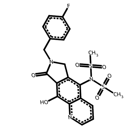 CS(=O)(=O)N(c1c2c(c(O)c3ncccc13)C(=O)N(Cc1ccc(F)cc1)C2)S(C)(=O)=O